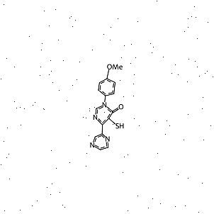 COc1ccc(-n2cnc(-c3cnccn3)c(S)c2=O)cc1